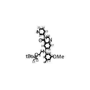 COc1cc(C)cc(N(CCO[Si](C)(C)C(C)(C)C)c2ccc3ncn(-c4cccnc4)c(=O)c3c2)c1